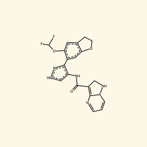 O=C(Nc1c[nH]nc1-c1cc2c(cc1OC(F)F)CCO2)C1=C2N=CC=CN2NC1